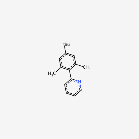 Cc1cc(C(C)(C)C)cc(C)c1-c1ccccn1